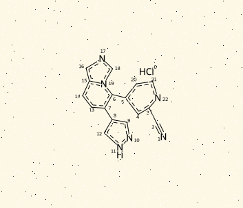 Cl.N#Cc1cc(-c2c(-c3cn[nH]c3)ccc3cncn23)ccn1